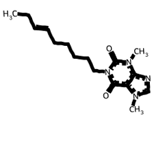 CC/C=C/CCCCCn1c(=O)c2c(ncn2C)n(C)c1=O